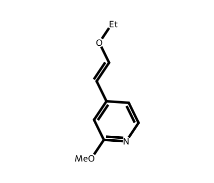 CCO/C=C/c1ccnc(OC)c1